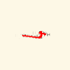 CCN(c1cc(-c2ccc(CN3CCN(CCOCCOCCOCCOCCOCCOCCOCCOCCOCCOCCN)CC3)cc2)cc(C(=O)NCc2c(C)cc(C)[nH]c2=O)c1C)C1CCOCC1